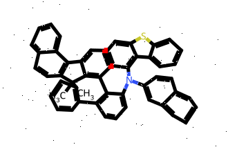 CC1(C)c2ccc3ccccc3c2-c2cccc(-c3c(-c4ccccc4)cccc3N(c3ccc4ccccc4c3)c3cccc4sc5ccccc5c34)c21